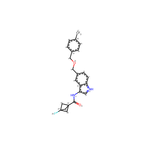 O=C(Nc1c[nH]c2ccc(COCc3ccc(C(F)(F)F)cc3)cc12)C12CC(F)(C1)C2